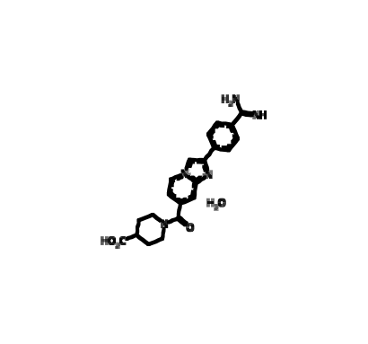 N=C(N)c1ccc(-c2cn3ccc(C(=O)N4CCC(C(=O)O)CC4)cc3n2)cc1.O